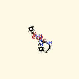 O=C(NOC(=O)N1CCN2c3cccc(c3)CC/C=C\CCNC(=O)C2C1)OCc1ccccc1